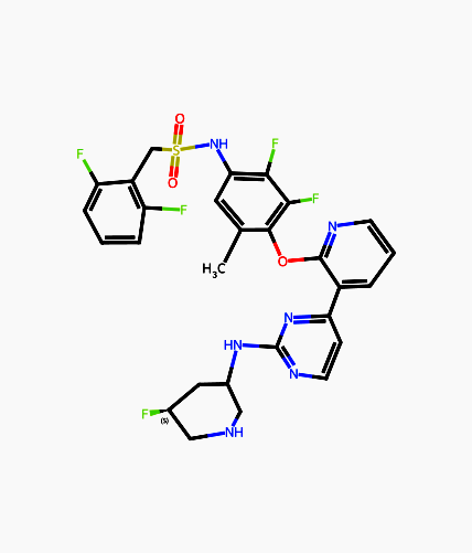 Cc1cc(NS(=O)(=O)Cc2c(F)cccc2F)c(F)c(F)c1Oc1ncccc1-c1ccnc(NC2CNC[C@@H](F)C2)n1